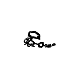 COc1ccc(C2=NOC(C)(O)C2c2ccccc2)cc1